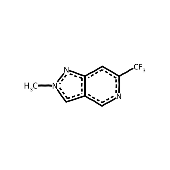 Cn1cc2cnc(C(F)(F)F)cc2n1